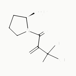 CCOC(=O)[C@@H]1CCCN1C(=O)C(=O)C(C)(C)CC